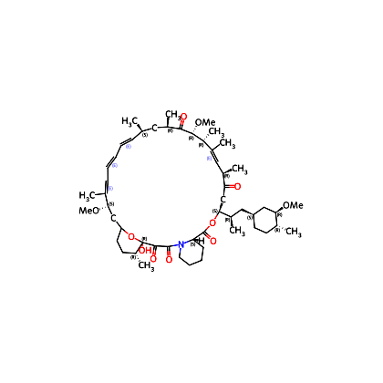 CO[C@H]1CC2CC[C@@H](C)[C@@](O)(O2)C(=O)C(=O)N2CCCC[C@H]2C(=O)O[C@H]([C@H](C)C[C@@H]2CC[C@@H](C)[C@H](OC)C2)CC(=O)[C@H](C)/C=C(\C)[C@@H](C)[C@@H](OC)C(=O)[C@H](C)C[C@H](C)/C=C/C=C/C=C/1C